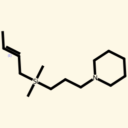 C/C=C/C[Si](C)(C)CCCN1CCCCC1